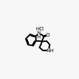 Cl.O=C1Nc2ccccc2C12CCNCC2